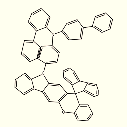 c1ccc(-c2ccc(N(c3ccc(-n4c5ccccc5c5cc6c(cc54)C4(c5ccccc5O6)c5ccccc5-c5ccccc54)cc3)c3ccccc3-c3ccccc3)cc2)cc1